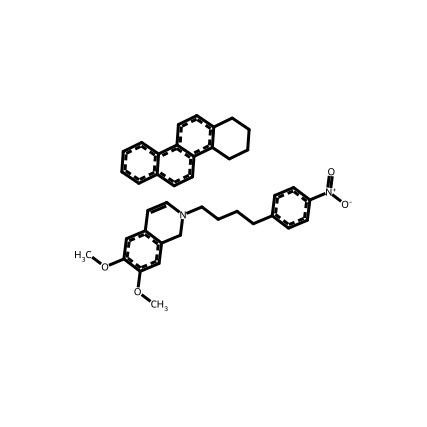 COc1cc2c(cc1OC)CN(CCCCc1ccc([N+](=O)[O-])cc1)C=C2.c1ccc2c(c1)ccc1c3c(ccc12)CCCC3